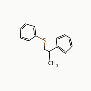 CC(CSc1cc[c]cc1)c1ccccc1